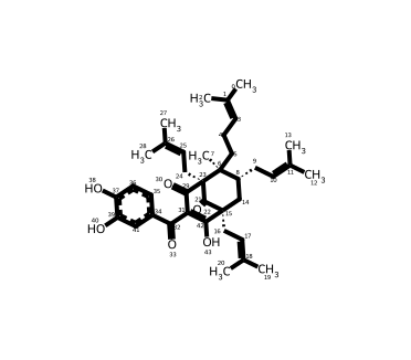 CC(C)=CCC[C@@]1(C)[C@H](CC=C(C)C)C[C@]2(CC=C(C)C)C(=O)[C@@]1(CC=C(C)C)C(=O)C(C(=O)c1ccc(O)c(O)c1)=C2O